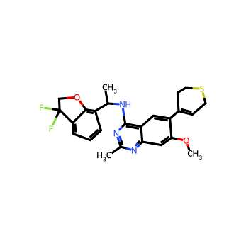 COc1cc2nc(C)nc(NC(C)c3cccc4c3OCC4(F)F)c2cc1C1=CCSCC1